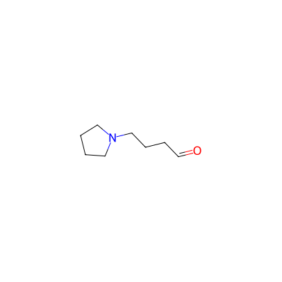 O=CCCCN1CCCC1